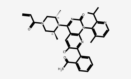 BC(=O)c1ccccc1-c1nc2c(cc1Cl)c(N1[C@@H](C)CN(C(=O)C=C)C[C@@H]1C)nc(=O)n2-c1c(C)ccnc1C(C)C